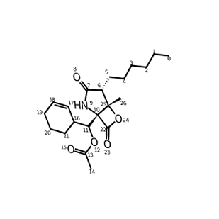 CCCCCC[C@H]1C(=O)N[C@@]2(C(OC(C)=O)C3C=CCCC3)C(=O)O[C@@]12C